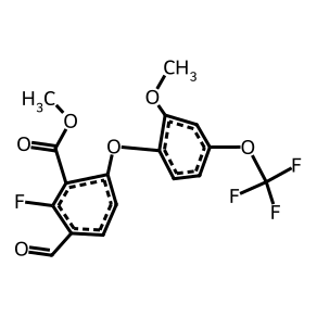 COC(=O)c1c(Oc2ccc(OC(F)(F)F)cc2OC)ccc(C=O)c1F